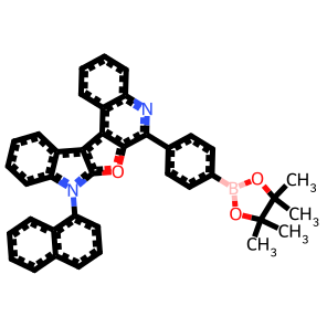 CC1(C)OB(c2ccc(-c3nc4ccccc4c4c3oc3c4c4ccccc4n3-c3cccc4ccccc34)cc2)OC1(C)C